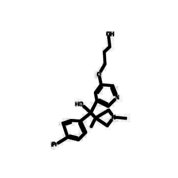 CC(C)c1ccc(C(O)(c2cncc(OCCCO)c2)C2(C)CN(C)C2)cc1